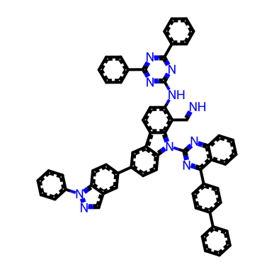 N=Cc1c(Nc2nc(-c3ccccc3)nc(-c3ccccc3)n2)ccc2c3cc(-c4ccc5c(cnn5-c5ccccc5)c4)ccc3n(-c3nc(-c4ccc(-c5ccccc5)cc4)c4ccccc4n3)c12